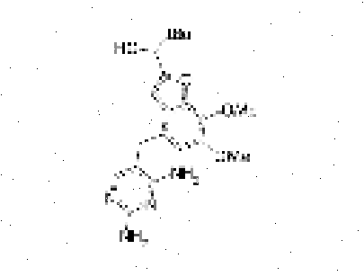 COc1cc(Cc2cnc(N)nc2N)c2cc(C(O)C(C)(C)C)oc2c1OC